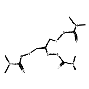 CN(C)C(=S)SSCC(CSSC(=S)N(C)C)SSC(=S)N(C)C